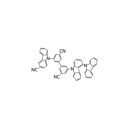 N#Cc1cc(-c2cc(C#N)cc(-n3c4ccccc4c4c(-n5c6ccccc6c6ccccc65)cccc43)c2)cc(-n2c3ccccc3c3cc(C#N)ccc32)c1